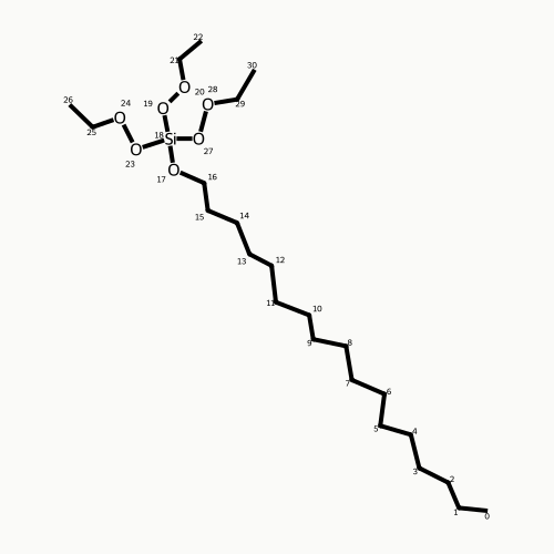 CCCCCCCCCCCCCCCCCO[Si](OOCC)(OOCC)OOCC